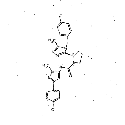 Cc1nnc([C@H]2CCCN2C(=O)Nc2cc(-c3ccc(Cl)cc3)nn2C)n1Cc1ccc(Cl)cc1